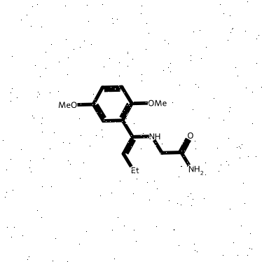 CC/C=C(\NCC(N)=O)c1cc(OC)ccc1OC